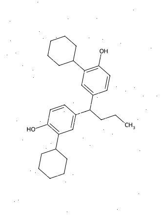 CCCC(c1ccc(O)c(C2CCCCC2)c1)c1ccc(O)c(C2CCCCC2)c1